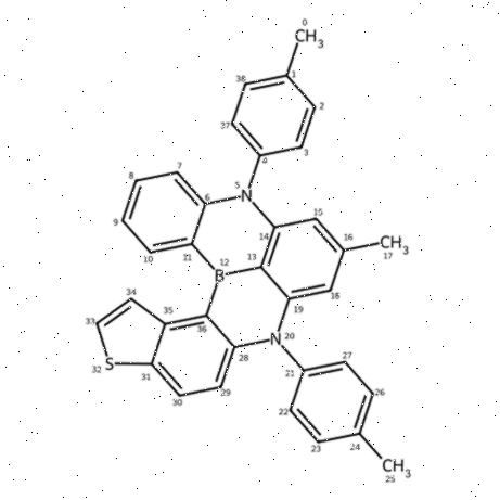 Cc1ccc(N2c3ccccc3B3c4c2cc(C)cc4N(c2ccc(C)cc2)c2ccc4sccc4c23)cc1